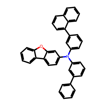 c1ccc(-c2cccc(N(c3cccc(-c4cccc5ccccc45)c3)c3ccc4c(c3)oc3ccccc34)c2)cc1